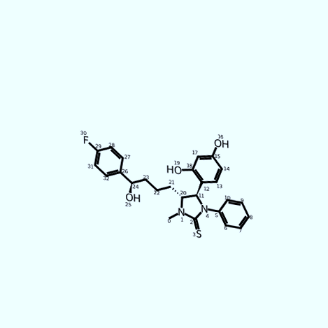 CN1C(=S)N(c2ccccc2)[C@H](c2ccc(O)cc2O)[C@H]1CCC[C@@H](O)c1ccc(F)cc1